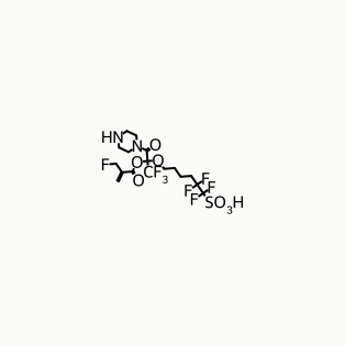 C=C(CF)C(=O)OC(OCCCCC(F)(F)C(F)(F)S(=O)(=O)O)(C(=O)N1CCNCC1)C(F)(F)F